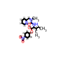 CCC(C)C(NC(=O)N(C)Cc1ccccn1)C(=O)Oc1ccc([N+](=O)[O-])cc1